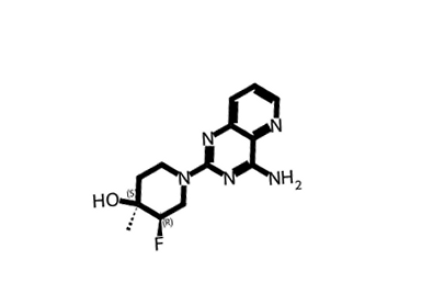 C[C@]1(O)CCN(c2nc(N)c3ncccc3n2)C[C@H]1F